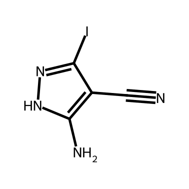 N#Cc1c(I)n[nH]c1N